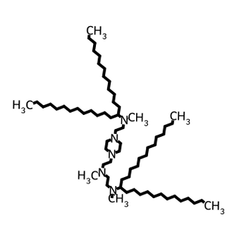 CCCCCCCCCCCCCC(CCCCCCCCCCCCC)N(C)CCN(C)CCN1CCN(CCN(C)C(CCCCCCCCCCCCC)CCCCCCCCCCCCC)CC1